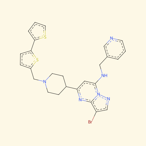 Brc1cnn2c(NCc3cccnc3)cc(C3CCN(Cc4ccc(-c5cccs5)s4)CC3)nc12